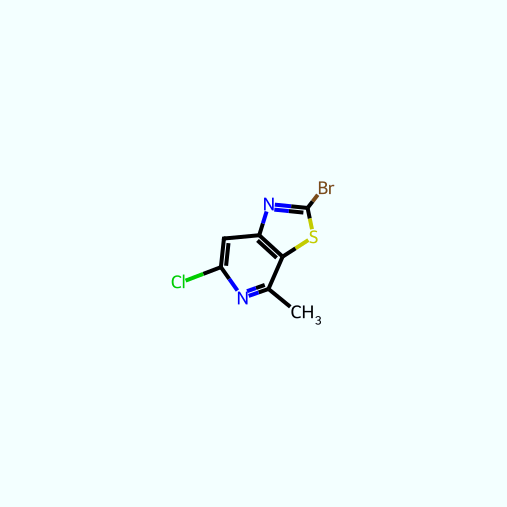 Cc1nc(Cl)cc2nc(Br)sc12